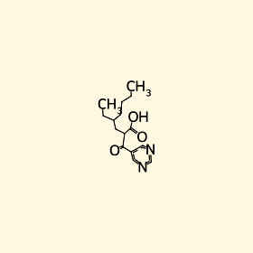 CCCCC(CC)CC(C(=O)O)C(=O)c1cncnc1